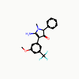 COc1cc(C2=C(N)N(C)C(c3ccccc3)C2=O)cc(C(F)(F)F)c1